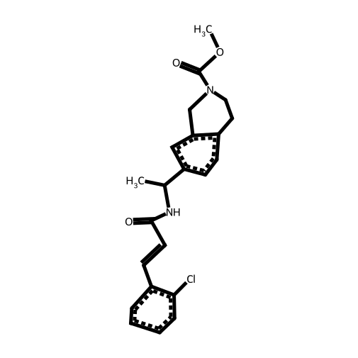 COC(=O)N1CCc2ccc(C(C)NC(=O)C=Cc3ccccc3Cl)cc2C1